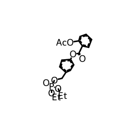 CCOP(=O)(OCC)OCc1ccc(OC(=O)c2ccccc2OC(C)=O)cc1